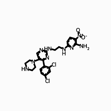 Nc1nc(NCCNc2ncc(N3CCNCC3)c(-c3ccc(Cl)cc3Cl)n2)ccc1[N+](=O)[O-]